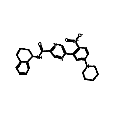 O=C(NC1CCCc2ccccc21)c1cnc(-c2cc(N3CCCCC3)ccc2[N+](=O)[O-])cn1